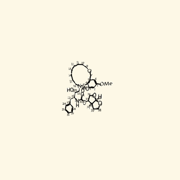 COc1ccc2c(c1)COCCCCCCCCN(C[C@@H](O)[C@H](Cc1ccccc1)NC(=O)O[C@H]1CO[C@H]3OCC[C@H]31)S2(=O)=O